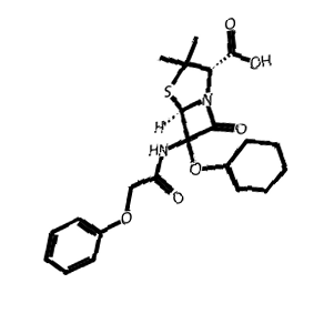 CC1(C)S[C@H]2N(C(=O)C2(NC(=O)COc2ccccc2)OC2CCCCC2)[C@H]1C(=O)O